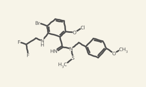 COc1ccc(CN(SC)C(=N)c2c(OCl)ccc(Br)c2NCC(F)F)cc1